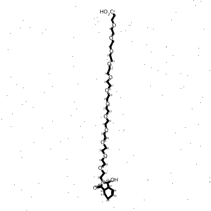 O=C(O)CCOCCOCCOCCOCCOCCOCCOCCOCCOCCOCCOCCOCCN1C(=O)C2CCC=CC2C1O